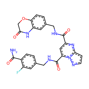 NC(=O)c1ccc(CNC(=O)c2cc(C(=O)NCc3ccc4c(c3)NC(=O)CO4)nc3ccnn23)cc1F